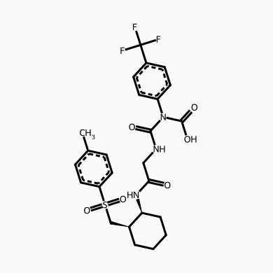 Cc1ccc(S(=O)(=O)C[C@@H]2CCCC[C@@H]2NC(=O)CNC(=O)N(C(=O)O)c2ccc(C(F)(F)F)cc2)cc1